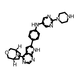 c1nc(N2[C@@H]3CC[C@H]2COC3)c2cc(-c3ccc(Nc4cnc(N5CCNCC5)nc4)cc3)[nH]c2n1